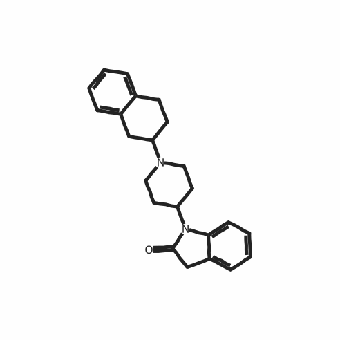 O=C1Cc2ccccc2N1C1CCN(C2CCc3ccccc3C2)CC1